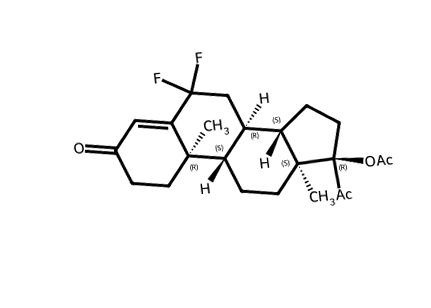 CC(=O)O[C@]1(C(C)=O)CC[C@H]2[C@@H]3CC(F)(F)C4=CC(=O)CC[C@]4(C)[C@H]3CC[C@@]21C